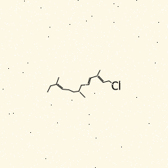 CCC(C)=CCCC(C)CC=CC(C)=CCCl